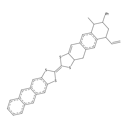 C=CC1CC(C(C)C)C(C)c2cc3c(cc21)CC1SC(=C2Sc4cc5cc6ccccc6cc5cc4S2)SC1=C3